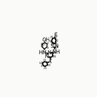 O[C@H]1CC[C@H](Nc2nc(Cc3ccccc3)cc(Nc3nc4cc(F)ccc4s3)n2)CC1